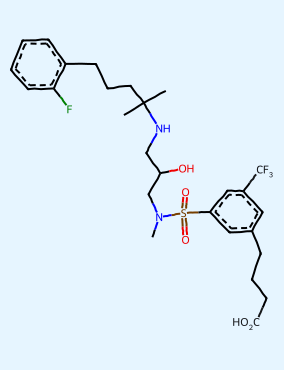 CN(CC(O)CNC(C)(C)CCCc1ccccc1F)S(=O)(=O)c1cc(CCCC(=O)O)cc(C(F)(F)F)c1